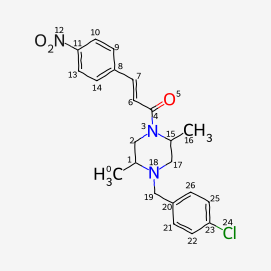 CC1CN(C(=O)/C=C/c2ccc([N+](=O)[O-])cc2)C(C)CN1Cc1ccc(Cl)cc1